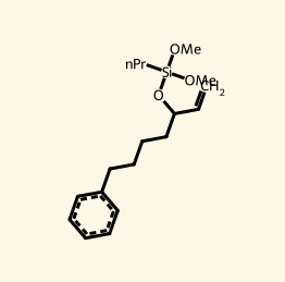 C=CC(CCCCc1ccccc1)O[Si](CCC)(OC)OC